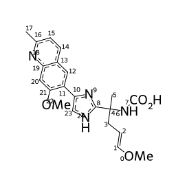 COC=CCC(C)(NC(=O)O)c1nc(-c2cc3ccc(C)nc3cc2OC)c[nH]1